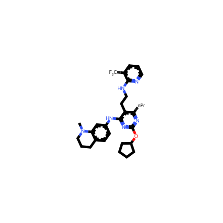 CCCc1nc(OC2CCCC2)nc(Nc2ccc3c(c2)N(C)CCC3)c1CCNc1ncccc1C(F)(F)F